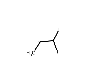 C[CH]C(I)I